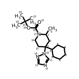 CC1CC(C2CCCCC2)(n2cncn2)CCN1C(=O)OC(C)(C)C